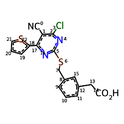 N#Cc1c(Cl)nc(SCc2cccc(CC(=O)O)c2)nc1-c1cccs1